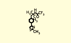 Cc1nc(-c2ccc(CC(C)(C)NC(=O)C(F)(F)F)cc2)cs1